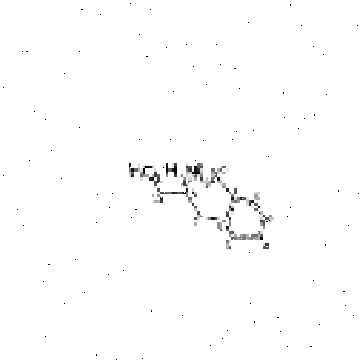 Nc1ccccc1CC(N)CO